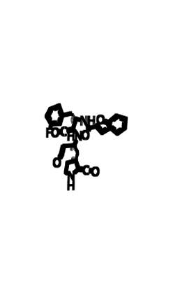 O=C=C[C@H](C[C@@H]1CCNC1=C=O)NC(=C=O)[C@H](Cc1cccc(F)c1)NC(=O)c1cc2ccccc2o1